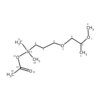 COC(C)COCCC[Si](C)(C)OC(C)=O